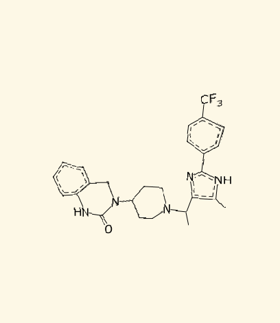 Cc1[nH]c(-c2ccc(C(F)(F)F)cc2)nc1C(C)N1CCC(N2Cc3ccccc3NC2=O)CC1